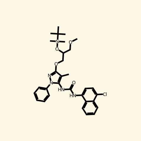 COCC(COc1nn(-c2ccccc2)c(NC(=O)Nc2ccc(Cl)c3ccccc23)c1C)O[Si](C)(C)C(C)(C)C